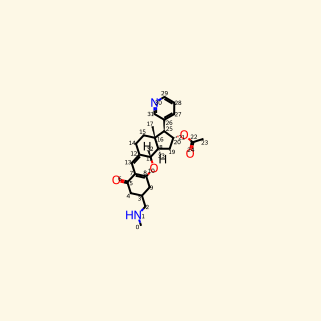 CNCC1CC(=O)C2=C(C1)O[C@@H]1C(=C2)CC[C@@]2(C)[C@H]1C[C@@H](OC(C)=O)[C@@H]2c1cccnc1